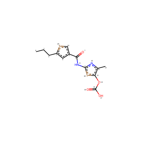 CCCc1cc(C(=O)Nc2nc(C)c(OC(=O)O)s2)cs1